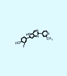 Cc1cc(-c2ncc3[nH]c(-c4ccc(O)c(F)c4)cc3n2)ccn1